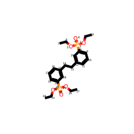 CCOP(=O)(OCC)c1cccc(CCc2cccc(P(=O)(OCC)OCC)c2)c1